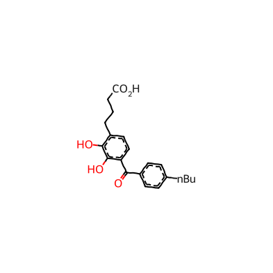 CCCCc1ccc(C(=O)c2ccc(CCCC(=O)O)c(O)c2O)cc1